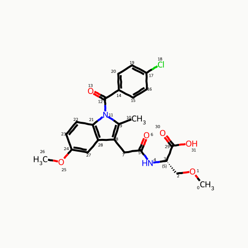 COC[C@H](NC(=O)Cc1c(C)n(C(=O)c2ccc(Cl)cc2)c2ccc(OC)cc12)C(=O)O